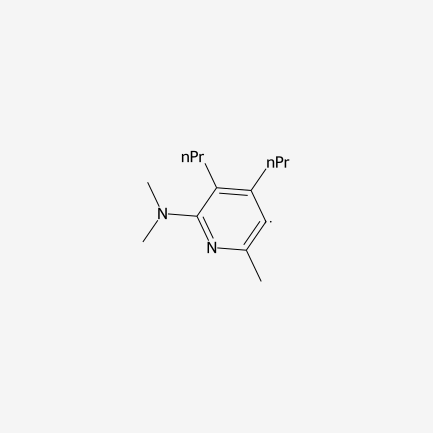 CCCc1[c]c(C)nc(N(C)C)c1CCC